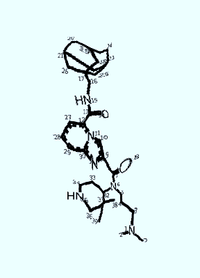 CN(C)CCCN(C(=O)c1cn2c(C(=O)NCC34CC5CC(CC(C5)C3)C4)cccc2n1)C1CCNCC1(C)C